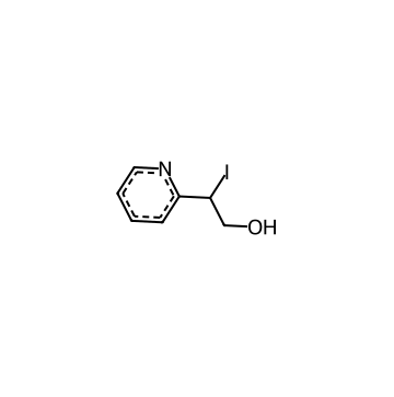 OCC(I)c1ccccn1